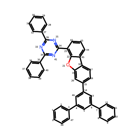 c1ccc(-c2cc(-c3ccccc3)cc(-c3ccc4c(c3)oc3c(-c5nc(-c6ccccc6)nc(-c6ccccc6)n5)cccc34)c2)cc1